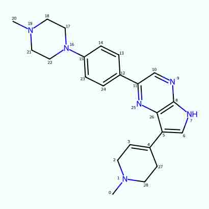 CN1CC=C(c2c[nH]c3ncc(-c4ccc(N5CCN(C)CC5)cc4)nc23)CC1